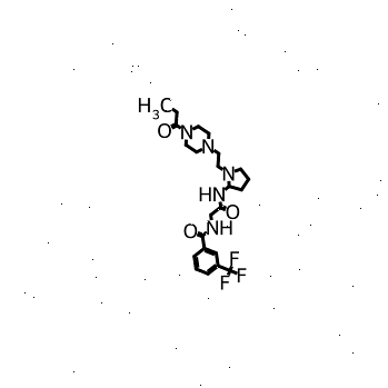 CCC(=O)N1CCN(CCN2CCCC2NC(=O)CNC(=O)c2cccc(C(F)(F)F)c2)CC1